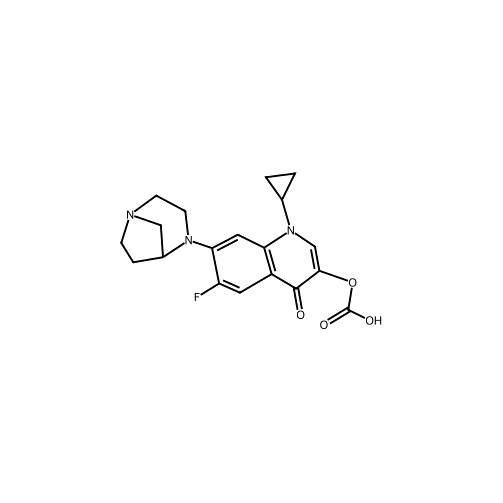 O=C(O)Oc1cn(C2CC2)c2cc(N3CCN4CCC3C4)c(F)cc2c1=O